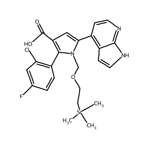 C[Si](C)(C)CCOCn1c(-c2ccnc3[nH]ccc23)cc(C(=O)O)c1-c1ccc(F)cc1Cl